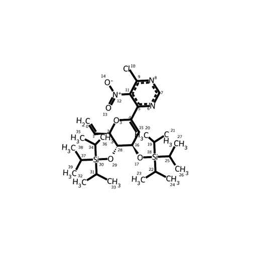 C=C[C@H]1OC(c2ncnc(Cl)c2[N+](=O)[O-])=C[C@@H](O[Si](C(C)C)(C(C)C)C(C)C)[C@@H]1O[Si](C(C)C)(C(C)C)C(C)C